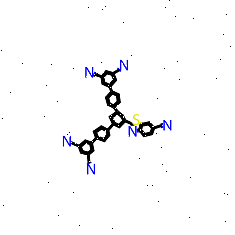 N#Cc1cc(C#N)cc(-c2ccc(-c3cc(-c4ccc(-c5cc(C#N)cc(C#N)c5)cc4)cc(-c4nc5ccc(C#N)cc5s4)c3)cc2)c1